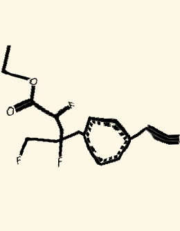 CCOC(=O)C(F)C(F)(CF)c1ccc(C#N)cc1